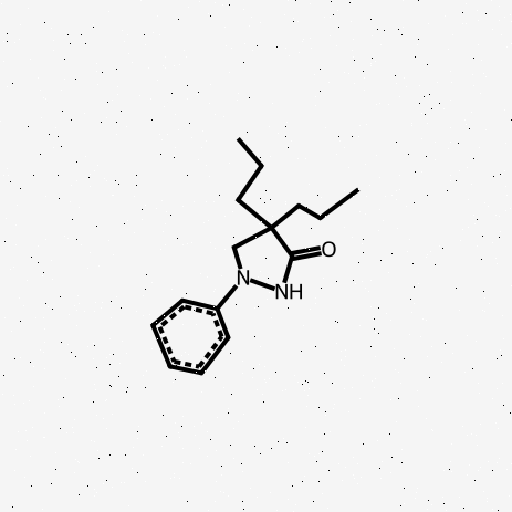 CCCC1(CCC)CN(c2ccccc2)NC1=O